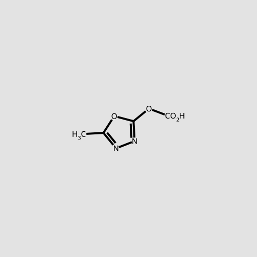 Cc1nnc(OC(=O)O)o1